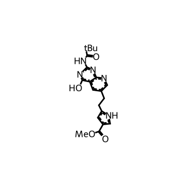 COC(=O)c1c[nH]c(CCc2cnc3nc(NC(=O)C(C)(C)C)nc(O)c3c2)c1